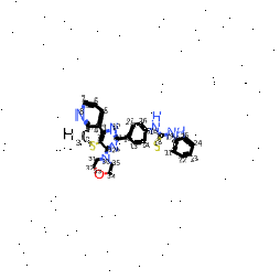 CSc1c(-c2cccnc2)nc(-c2ccc(NC(=S)Nc3ccccc3)cc2)nc1N1CCOCC1